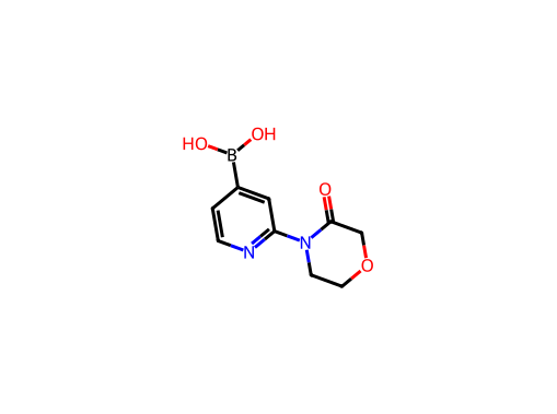 O=C1COCCN1c1cc(B(O)O)ccn1